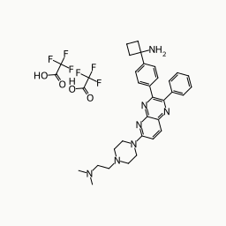 CN(C)CCN1CCN(c2ccc3nc(-c4ccccc4)c(-c4ccc(C5(N)CCC5)cc4)nc3n2)CC1.O=C(O)C(F)(F)F.O=C(O)C(F)(F)F